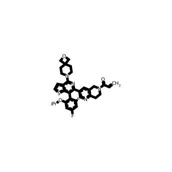 C=CC(=O)N1CCc2ncc(-c3nc(N4CCC5(CC4)COC5)c4ccsc4c3-c3c(F)cc(F)cc3OC(C)C)cc2C1